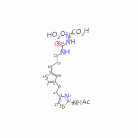 CC(=O)Nc1nc(CCc2csc(CCCNC(=O)NN(C(=O)O)C(=O)O)c2)cs1